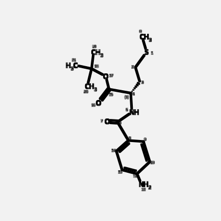 CSCC[C@H](NC(=O)c1ccc(N)cc1)C(=O)OC(C)(C)C